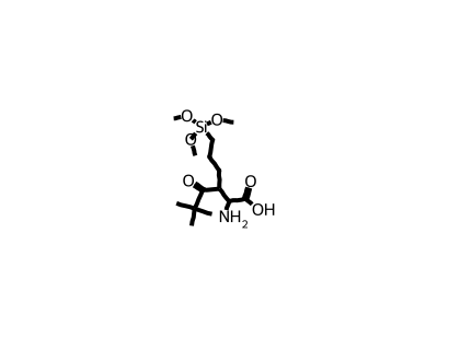 CO[Si](CCCC(C(=O)C(C)(C)C)C(N)C(=O)O)(OC)OC